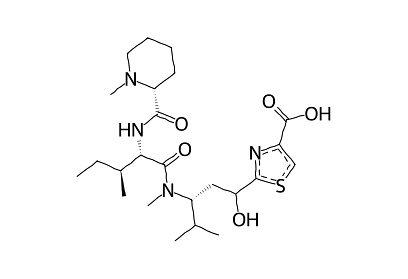 CC[C@H](C)[C@H](NC(=O)[C@H]1CCCCN1C)C(=O)N(C)[C@H](CC(O)c1nc(C(=O)O)cs1)C(C)C